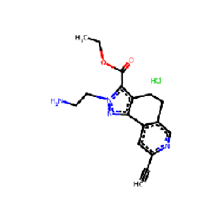 C#Cc1cc2c(cn1)CCc1c-2nn(CCN)c1C(=O)OCC.Cl